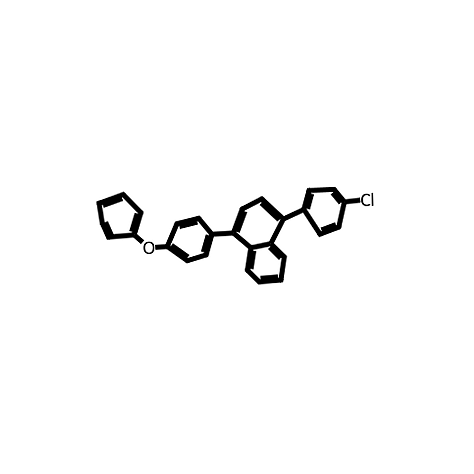 Clc1ccc(-c2ccc(-c3ccc(Oc4ccccc4)cc3)c3ccccc23)cc1